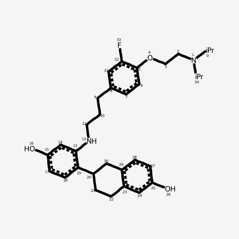 CC(C)N(CCOc1ccc(CCCNc2cc(O)ccc2C2CCc3cc(O)ccc3C2)cc1F)C(C)C